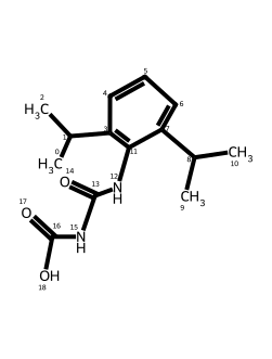 CC(C)c1cccc(C(C)C)c1NC(=O)NC(=O)O